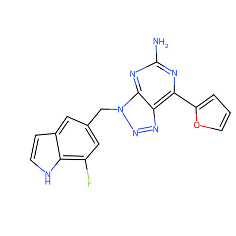 Nc1nc(-c2ccco2)c2nnn(Cc3cc(F)c4[nH]ccc4c3)c2n1